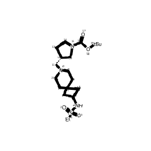 CCS(=O)(=O)NC1CC2(CCN(C[C@@H]3CCN(C(=O)OC(C)(C)C)C3)CC2)C1